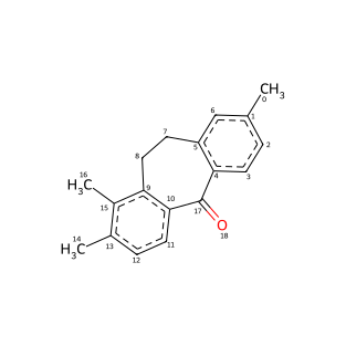 Cc1ccc2c(c1)CCc1c(ccc(C)c1C)C2=O